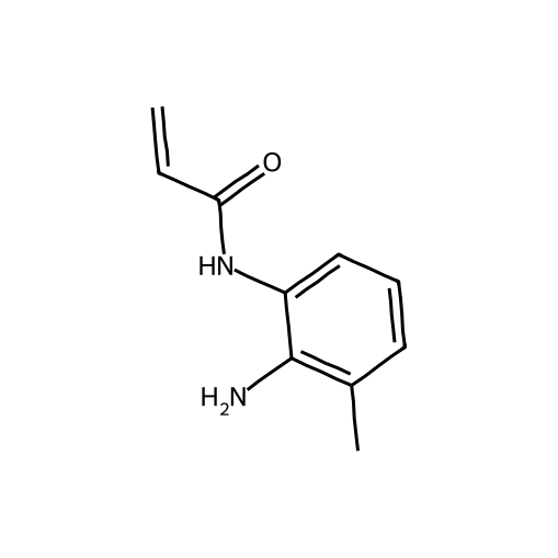 C=CC(=O)Nc1cccc(C)c1N